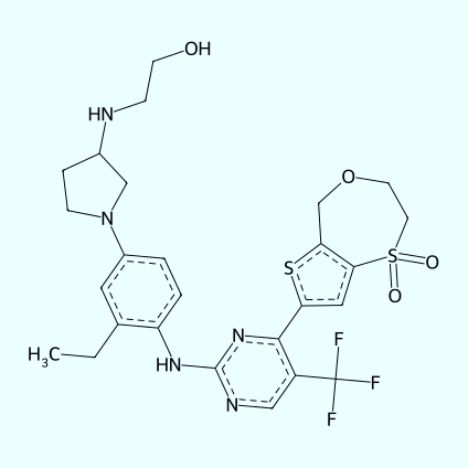 CCc1cc(N2CCC(NCCO)C2)ccc1Nc1ncc(C(F)(F)F)c(-c2cc3c(s2)COCCS3(=O)=O)n1